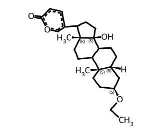 CCO[C@H]1CC[C@]2(C)C3CC[C@]4(C)C(c5ccc(=O)oc5)CC[C@]4(O)C3CC[C@@H]2C1